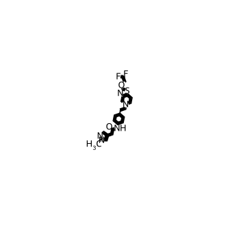 Cn1cc(CC(=O)N[C@H]2CC[C@H](CCN3CCc4sc(OCC(F)F)nc4C3)CC2)cn1